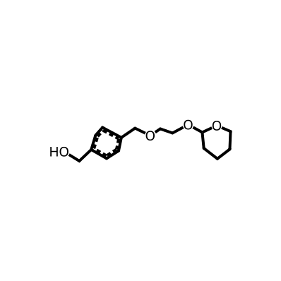 OCc1ccc(COCCOC2CCCCO2)cc1